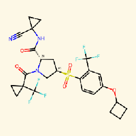 N#CC1(NC(=O)[C@@H]2C[C@@H](S(=O)(=O)c3ccc(OC4CCC4)cc3C(F)(F)F)CN2C(=O)C2(C(F)(F)F)CC2)CC1